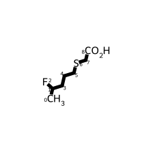 CC(F)CCCSCC(=O)O